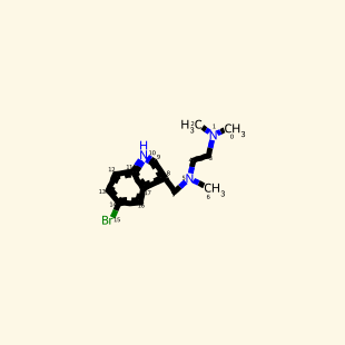 CN(C)CCN(C)Cc1c[nH]c2ccc(Br)cc12